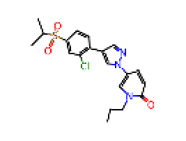 CCCn1cc(-n2cc(-c3ccc(S(=O)(=O)C(C)C)cc3Cl)cn2)ccc1=O